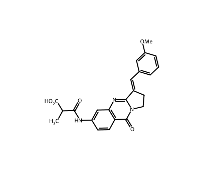 COc1cccc(C=C2CCn3c2nc2cc(NC(=O)C(C)C(=O)O)ccc2c3=O)c1